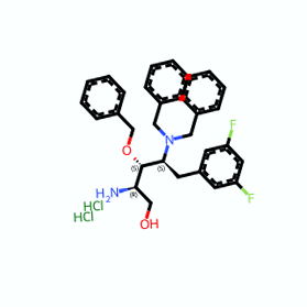 Cl.Cl.N[C@H](CO)[C@H](OCc1ccccc1)[C@H](Cc1cc(F)cc(F)c1)N(Cc1ccccc1)Cc1ccccc1